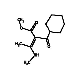 CNC(C)=C(C(=O)OC)C(=O)C1CCCCC1